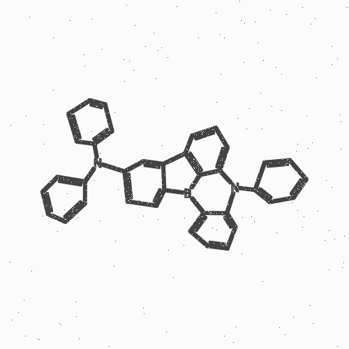 c1ccc(N(c2ccccc2)c2ccc3c(c2)-c2cccc4c2B3c2ccccc2N4c2ccccc2)cc1